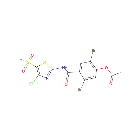 CC(=O)Oc1cc(Br)c(C(=O)Nc2nc(Cl)c(S(C)(=O)=O)s2)cc1Br